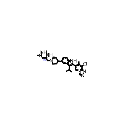 Cc1c(-c2[nH]c3ccc(C4CCN(C/C(N)=C/N(C)N)CC4)cc3c2C(C)C)cn2cnnc2c1Cl